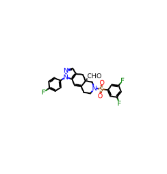 O=C[C@]12Cc3cnn(-c4ccc(F)cc4)c3C=C1CCN(S(=O)(=O)c1cc(F)cc(F)c1)C2